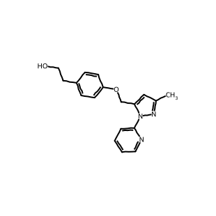 Cc1cc(COc2ccc(CCO)cc2)n(-c2ccccn2)n1